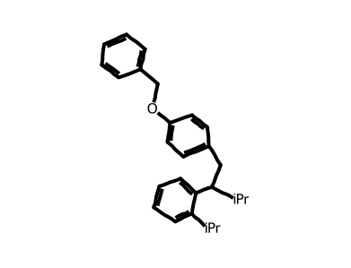 CC(C)[C](Cc1ccc(OCc2ccccc2)cc1)c1ccccc1C(C)C